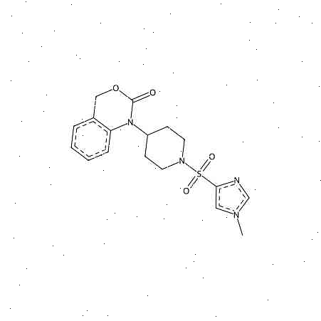 Cn1cnc(S(=O)(=O)N2CCC(N3C(=O)OCc4ccccc43)CC2)c1